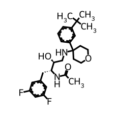 CC(=O)N[C@H](Cc1cc(F)cc(F)c1)[C@@H](O)CNC1(c2cccc(C(C)(C)C)c2)CCOCC1